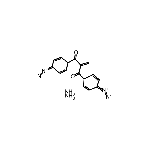 C=C(C(=O)C1C=CC(=[N+]=[N-])C=C1)C(=O)C1C=CC(=[N+]=[N-])C=C1.N.N